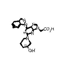 O=C(O)Cn1cnc2c(-n3ncc4ccccc43)nc(N3CCC[C@H](O)C3)nc21